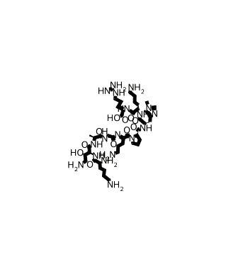 C[C@H](NC(=O)[C@@H](NC(=O)[C@@H](N)CCCCN)[C@@H](O)CN)C(=O)NCC(=O)/N=C(\CCCN)C(=O)N1CCC[C@H]1C(=O)N[C@@H](Cc1cn(C)cn1)C(=O)N[C@@H](CCCCN)C(=O)N/C(=C\CCNC(=N)N)C(=O)O